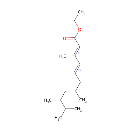 CCOC(=O)/C=C(C)/C=C/CC(C)CC(C)C(C)C